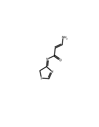 N/C=C/C(=O)/N=C1/CSC=N1